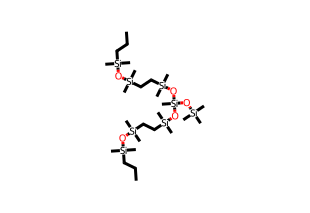 CCC[Si](C)(C)O[Si](C)(C)CC[Si](C)(C)O[Si](C)(O[Si](C)(C)C)O[Si](C)(C)CC[Si](C)(C)O[Si](C)(C)CCC